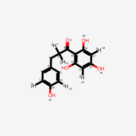 [2H]c1cc(CC([2H])([2H])C(=O)c2c(O)c([2H])c(O)c([2H])c2O)cc([2H])c1O